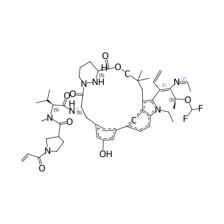 C=CC(=O)N1CCC(C(=O)N(C)[C@H](C(=O)N[C@H]2Cc3cc(O)cc(c3)-c3ccc4c(c3)c(c(/C(C=C)=C(/N=C\C)[C@H](C)OC(F)F)n4CC)CC(C)(C)COC(=O)[C@@H]3CCCN(N3)C2=O)C(C)C)C1